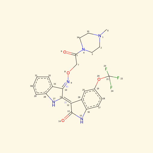 CN1CCN(C(=O)CO/N=C2/C(=C3/C(=O)Nc4ccc(OC(F)(F)F)cc43)Nc3ccccc32)CC1